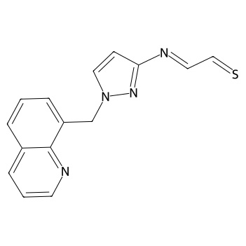 S=CC=Nc1ccn(Cc2cccc3cccnc23)n1